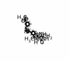 C=C1NC(=O)NC(C(=O)N[C@H](C)c2cccc(-c3cnn(Cc4cccc(C(=O)OC)c4)c3)c2)=C1N